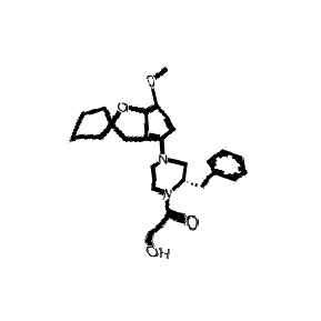 COC1C=CC(N2CCN(C(=O)CO)[C@@H](Cc3ccccc3)C2)=C2CC3(CCCC3)OC21